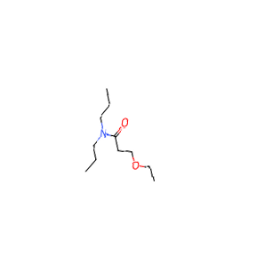 CCCN(CCC)C(=O)CCOCC